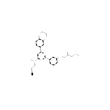 CNCC(O)COc1cccc(-c2nc(-c3ccc4c(c3)OCCO4)cc(N(C)CCC#N)n2)c1